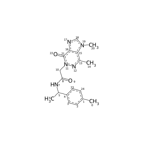 Cc1ccc(C(C)NC(=O)Cn2nc(C)c3c(ncn3C)c2=O)cc1